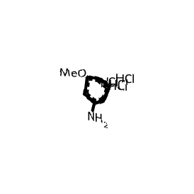 COc1cccc(N)c1.Cl.Cl.Cl